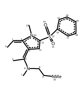 C/C=c1\c(=C(/C)N(C)CCNC)cc(S(=O)(=O)c2ccccc2)n1C